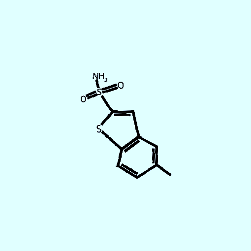 Cc1ccc2sc(S(N)(=O)=O)cc2c1